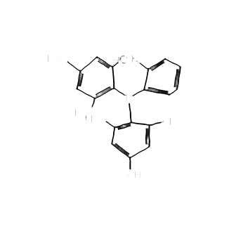 Cc1cc(C)c(P(c2ccccc2S(=O)(=O)O)c2c(C)cc(C)cc2C)c(C)c1